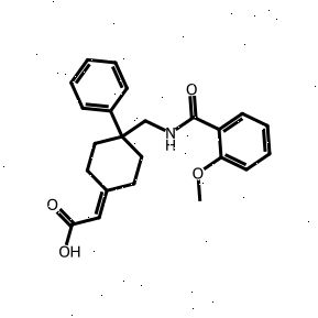 COc1ccccc1C(=O)NCC1(c2ccccc2)CCC(=CC(=O)O)CC1